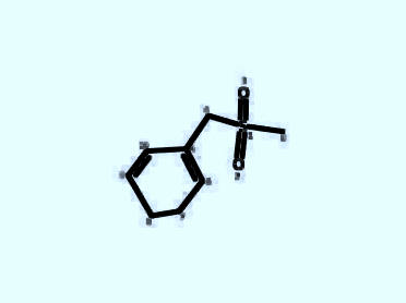 CS(=O)(=O)CC1=CCCC=C1